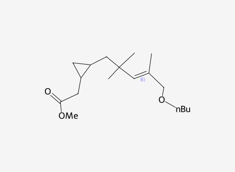 CCCCOC/C(C)=C/C(C)(C)CC1CC1CC(=O)OC